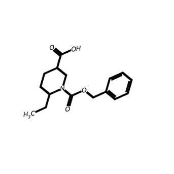 CCC1CCC(C(=O)O)CN1C(=O)OCc1ccccc1